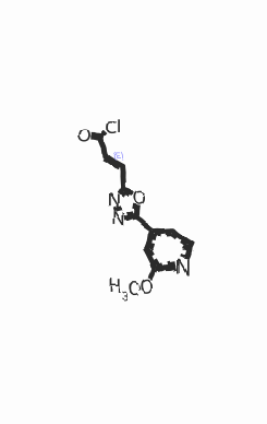 COc1cc(-c2nnc(/C=C/C(=O)Cl)o2)ccn1